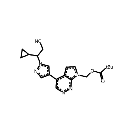 CC(C)(C)C(=O)OCn1ccc2c(-c3cnn(C(CC#N)C4CC4)c3)cnnc21